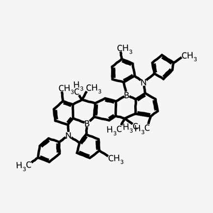 Cc1ccc(N2c3ccc(C)cc3B3c4cc5c(cc4C(C)(C)c4c(C)ccc2c43)B2c3ccc(C)cc3N(c3ccc(C)cc3)c3ccc(C)c(c32)C5(C)C)cc1